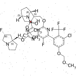 COCOc1cc(Cl)c(C(F)(F)F)c(-c2nc3c4c(nc(OC[C@@]56CCCN5C[C@H](F)C6)nc4c2F)N2C[C@@H]4CC[C@H]([C@H]2CO3)N4C(=O)OC(C)(C)C)c1